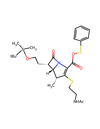 CC(=O)NCCSC1=C(C(=O)OSc2ccccc2)N2C(=O)[C@@H](CCO[Si](C)(C)C(C)(C)C)[C@H]2[C@H]1C